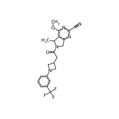 COc1nc(C#N)nc2c1C(C)N(C(=O)CC1CN(c3cccc(C(F)(F)F)c3)C1)C2